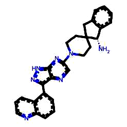 N[C@H]1c2ccccc2CC12CCN(c1cnc3c(-c4cccc5ncccc45)n[nH]c3n1)CC2